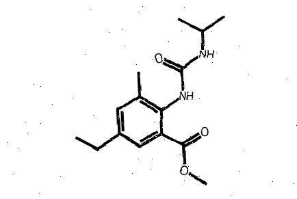 CCc1cc(C)c(NC(=O)NC(C)C)c(C(=O)OC)c1